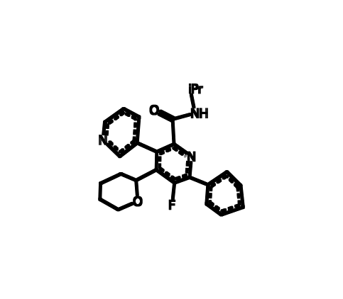 CC(C)NC(=O)c1nc(-c2ccccc2)c(F)c(C2CCCCO2)c1-c1cccnc1